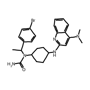 CC(c1ccc(Br)cc1)N(C(N)=O)C1CCC(Nc2cc(N(C)C)c3ccccc3n2)CC1